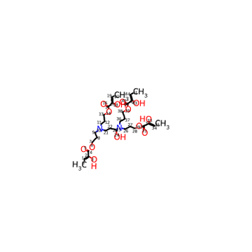 CC=C(O)C(=O)OCCCN(CCCOC(=O)C(O)=CC)CCC(O)N(CCCOC(=O)C(O)=CC)CCCOC(=O)C(O)=CC